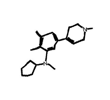 Cc1cc(C2=CCN(C)CC2)cc(N(C)C2CCCC2)c1C